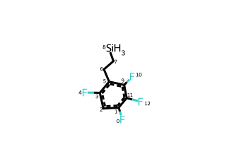 Fc1cc(F)c(CC[SiH3])c(F)c1F